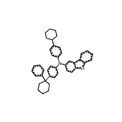 c1ccc(C2(c3ccc(N(c4ccc(C5CCCCC5)cc4)c4ccc5oc6ccccc6c5c4)cc3)CCCCC2)cc1